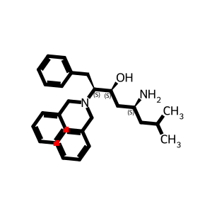 CC(C)C[C@H](N)C[C@H](O)[C@H](Cc1ccccc1)N(Cc1ccccc1)Cc1ccccc1